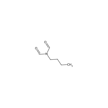 CCCCN([C]=O)C=O